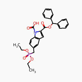 CCOP(=O)(Cc1ccc2c(c1)cc(C(=O)OC(c1ccccc1)c1ccccc1)n2C(=O)O)OCC